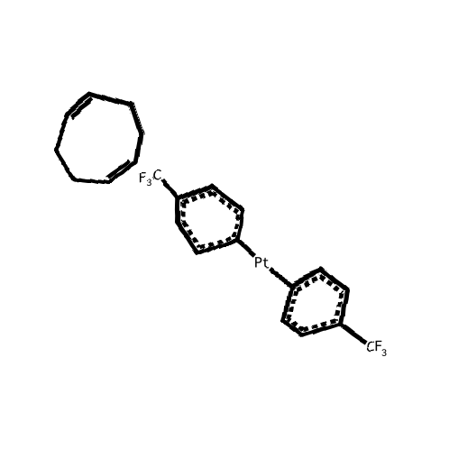 C1=CCCC=CCC1.FC(F)(F)c1cc[c]([Pt][c]2ccc(C(F)(F)F)cc2)cc1